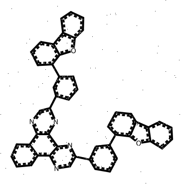 c1cc(-c2cnc3c4ccccc4c4ncc(-c5cccc(-c6cccc7c6oc6ccccc67)c5)nc4c3n2)cc(-c2cccc3c2oc2ccccc23)c1